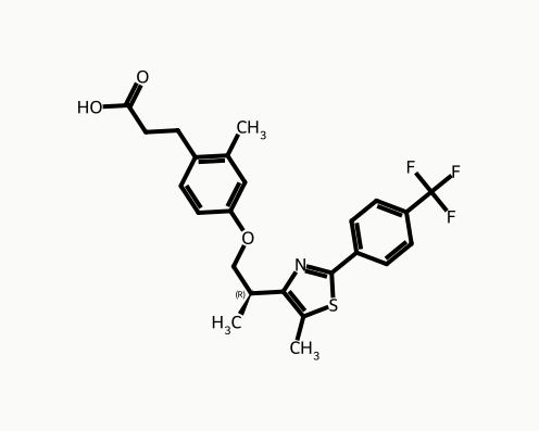 Cc1cc(OC[C@H](C)c2nc(-c3ccc(C(F)(F)F)cc3)sc2C)ccc1CCC(=O)O